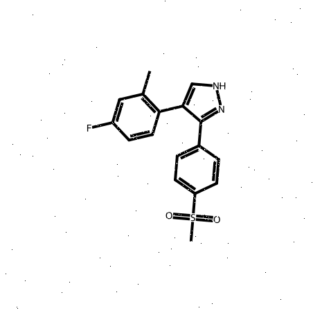 Cc1cc(F)ccc1-c1c[nH]nc1-c1ccc(S(C)(=O)=O)cc1